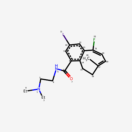 CCN(CC)CCNC(=O)c1cc(I)cc2c1CC/C(C)=C/C=C\2F